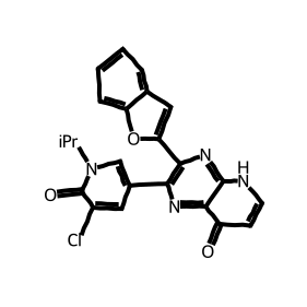 CC(C)n1cc(-c2nc3c(=O)cc[nH]c3nc2-c2cc3ccccc3o2)cc(Cl)c1=O